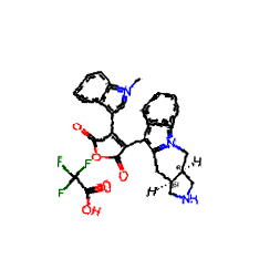 Cn1cc(C2=C(c3c4n(c5ccccc35)C[C@H]3CNC[C@H]3C4)C(=O)OC2=O)c2ccccc21.O=C(O)C(F)(F)F